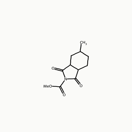 COC(=O)N1C(=O)C2CCC(C)CC2C1=O